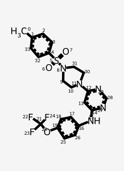 Cc1ccc(S(=O)(=O)N2CCN(c3cc(Nc4ccc(OC(F)(F)F)cc4)ncn3)CC2)cc1